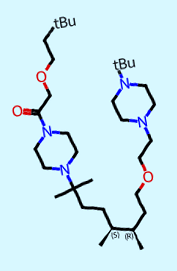 C[C@H](CCOCCN1CCN(C(C)(C)C)CC1)[C@@H](C)CCC(C)(C)N1CCN(C(=O)COCCC(C)(C)C)CC1